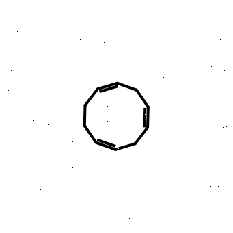 C1=CCC=CCCC=CC1